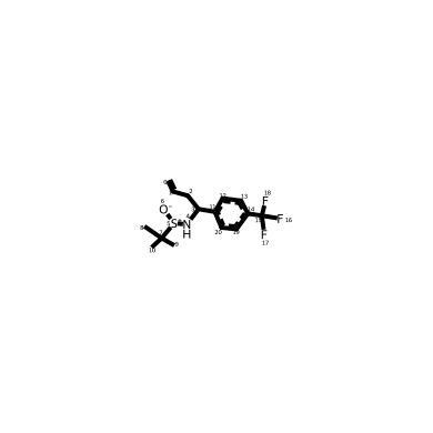 C=CCC(N[S+]([O-])C(C)(C)C)c1ccc(C(F)(F)F)cc1